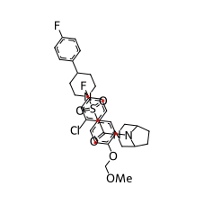 COCOc1ccc(S(=O)(=O)N2CCC(c3ccc(F)cc3)CC2)cc1N1C2CCC1CN(C(=O)c1ccc(F)cc1Cl)C2